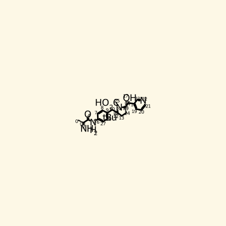 C[C@H](N)C(=O)Nc1ccc(C[C@]2(C(C)(C)C)CC[C@H]([C@H](O)c3cccnc3)N2C(=O)O)cc1